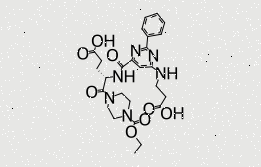 CCOC(=O)N1CCN(C(=O)[C@H](CCC(=O)O)NC(=O)c2cc(NCCC(=O)O)nc(-c3ccccc3)n2)CC1